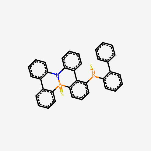 S=[PH](c1ccccc1-c1ccccc1)c1cccc2c1-c1ccccc1N1c3ccccc3-c3ccccc3P21=S